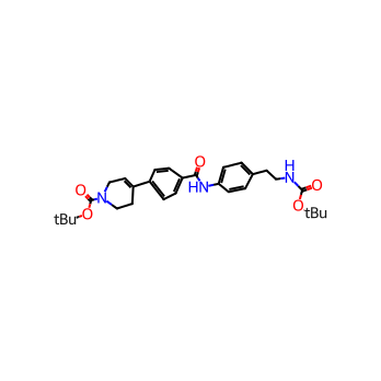 CC(C)(C)OC(=O)NCCc1ccc(NC(=O)c2ccc(C3=CCN(C(=O)OC(C)(C)C)CC3)cc2)cc1